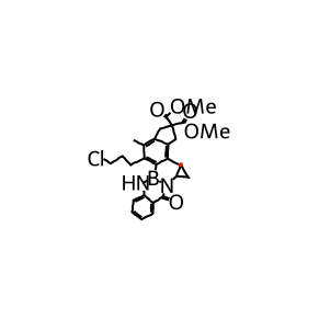 COC(=O)C1(C(=O)OC)Cc2c(C)c(CCCCl)c(B3Nc4ccccc4C(=O)N3C3CC3)c(C)c2C1